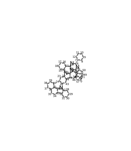 c1ccc(-c2nc(-c3ccccc3)nc(-c3ccccc3-n3c4ccc(-n5c6ccccc6c6ccc7ccccc7c65)cc4c4cc5ccccc5cc43)n2)cc1